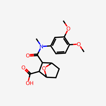 COc1ccc(N(C)C(=O)C2C3CCC(O3)C2C(=O)O)cc1OC